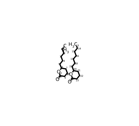 CCCCCCC1CCCC(=O)O1.CCCCCCCC1CCCC(=O)O1